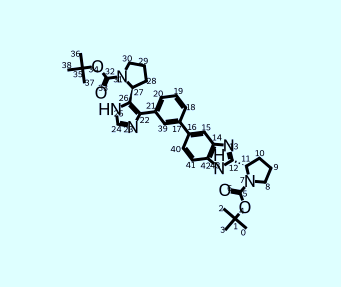 CC(C)(C)OC(=O)N1CCC[C@H]1c1nc2cc(-c3cccc(-c4nc[nH]c4[C@@H]4CCCN4C(=O)OC(C)(C)C)c3)ccc2[nH]1